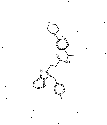 CC(NC(=O)CCc1nc2cccnc2n1Cc1ccc(F)cc1)c1ccc(N2CCOCC2)cc1